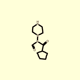 O=[C]N(C(=O)C1CCCC1)N1CCNCC1